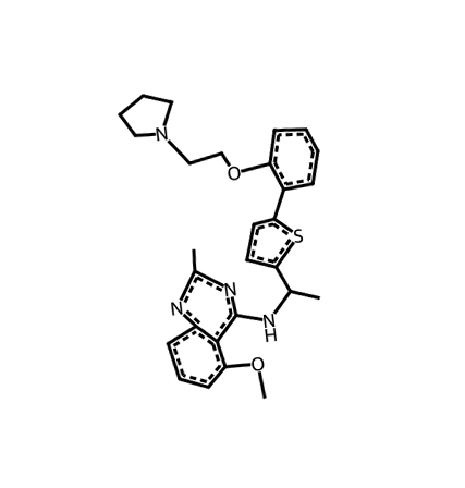 COc1cccc2nc(C)nc(NC(C)c3ccc(-c4ccccc4OCCN4CCCC4)s3)c12